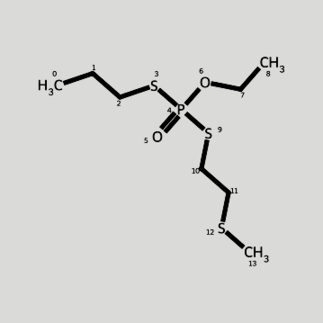 CCCSP(=O)(OCC)SCCSC